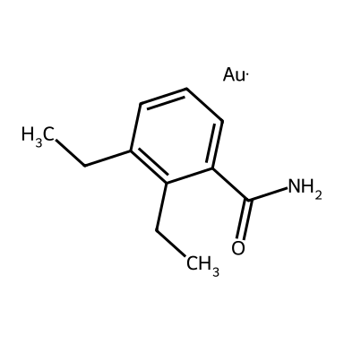 CCc1cccc(C(N)=O)c1CC.[Au]